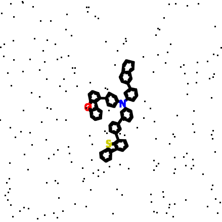 c1cc(-c2cccc(N(c3ccc(-c4cccc5oc6ccccc6c45)cc3)c3cccc(-c4ccc5ccccc5c4)c3)c2)cc(-c2cccc3c2sc2ccccc23)c1